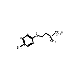 CN(CCOc1ccc(Br)cc1)C(=O)O